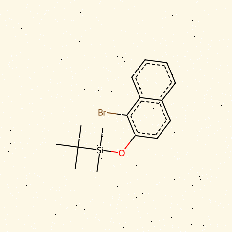 CC(C)(C)[Si](C)(C)Oc1ccc2ccccc2c1Br